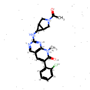 CC(=O)N1CC2C(C1)C2Nc1ncc2cc(-c3ccccc3Cl)c(=O)n(C)c2n1